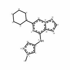 Cn1cc(Nc2nc(C3CCCCC3)cn3ncnc23)cn1